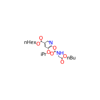 CCCCCCOC(=O)c1cnc(OC(=O)NCC(=O)OCCCC)c(OC(C)C)c1